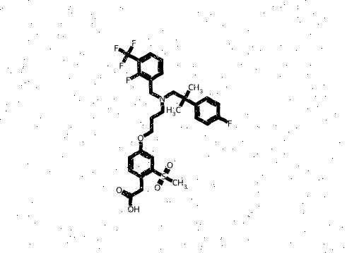 CC(C)(CN(CCCOc1ccc(CC(=O)O)c(S(C)(=O)=O)c1)Cc1cccc(C(F)(F)F)c1F)c1ccc(F)cc1